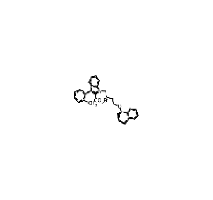 CCOC(=O)c1c(-c2ccccc2C)c2ccccc2n1CCCCOc1cccc2ccccc12